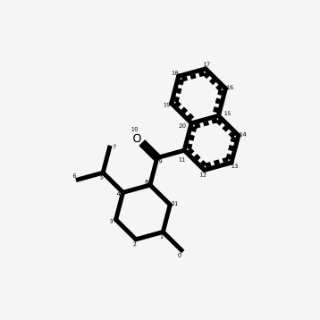 CC1CCC(C(C)C)C(C(=O)c2cccc3ccccc23)C1